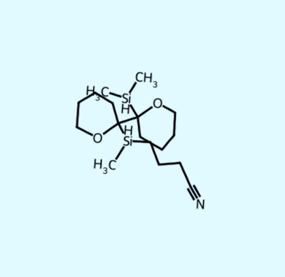 C[SiH](C)C1(C2([SiH](C)CCCC#N)CCCCO2)CCCCO1